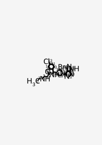 CCNCCC(=O)NC(c1ccc(Cl)cc1)C1CCN(c2ncnc3[nH]nc(Br)c23)CC1